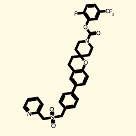 O=C(Oc1cc(C(F)(F)F)ccc1F)N1CCC2(CCc3cc(-c4ccc(CS(=O)(=O)Cc5ccccn5)cc4)ccc3O2)CC1